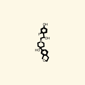 Oc1ccc(C(O)CN2CCC(O)(c3ccc4c(c3)COCC4)CC2)c(F)c1